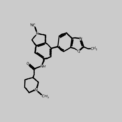 Cc1nc2ccc(-c3cc(NC(=O)C4CCCN(C)C4)cc4c3CN(C#N)C4)cc2o1